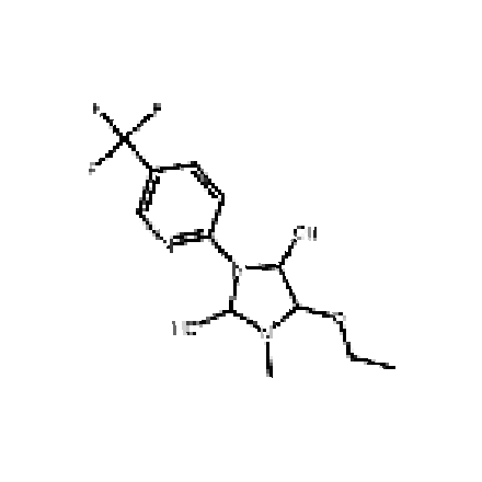 CCOC1C(O)N(c2ccc(C(F)(F)F)cn2)C(O)N1C